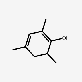 CC1=CC(C)=C(O)C(C)C1